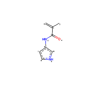 C=C(C)C(=O)Nc1cc[nH]c1